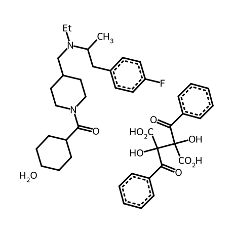 CCN(CC1CCN(C(=O)C2CCCCC2)CC1)C(C)Cc1ccc(F)cc1.O.O=C(O)C(O)(C(=O)c1ccccc1)C(O)(C(=O)O)C(=O)c1ccccc1